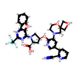 C[C@@H]1N(c2cc(-c3cccnc3C#N)cnc2O[C@H]2C[C@@H](C(=O)O)N(c3nc(C(F)(F)F)nc4c3oc3ccccc34)C2)CCOC12COC2